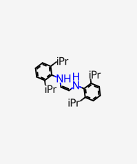 CC(C)c1cccc(C(C)C)c1N/C=C\Nc1c(C(C)C)cccc1C(C)C